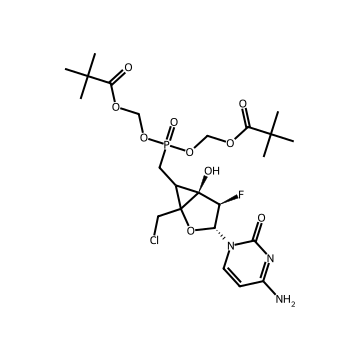 CC(C)(C)C(=O)OCOP(=O)(CC1C2(CCl)O[C@@H](n3ccc(N)nc3=O)[C@H](F)[C@@]12O)OCOC(=O)C(C)(C)C